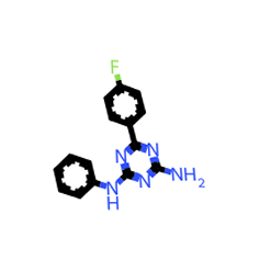 Nc1nc(Nc2ccccc2)nc(-c2ccc(F)cc2)n1